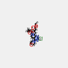 CCOC(=O)C=CCC1c2nc(Cl)nc(N3CCOCC3)c2CCN1C(=O)OC(C)(C)C